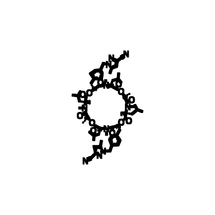 Cc1cc(C#N)nn1Cc1ccc(C[C@H]2OC(=O)[C@H](CC(C)C)N(C)C(=O)[C@@H](C)OC(=O)[C@H](CC(C)C)N(C)C(=O)[C@@H](Cc3ccc(Cn4nc(C#N)cc4C)cc3)OC(=O)[C@H](CC(C)C)N(C)C(=O)[C@@H](C)OC(=O)[C@H](CC(C)C)N(C)C2=O)cc1